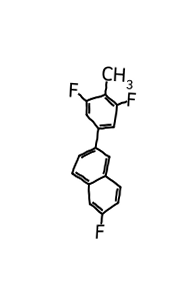 Cc1c(F)cc(-c2ccc3cc(F)ccc3c2)cc1F